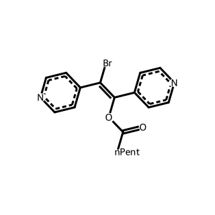 CCCCCC(=O)OC(=C(Br)c1ccncc1)c1ccncc1